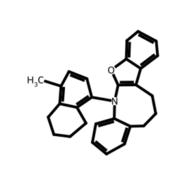 Cc1ccc(N2c3ccccc3CCCc3c2oc2ccccc32)c2c1CCCC2